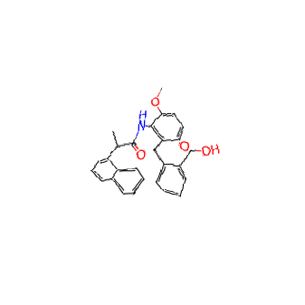 COc1cccc(Cc2ccccc2C(=O)O)c1NC(=O)C(C)c1cccc2ccccc12